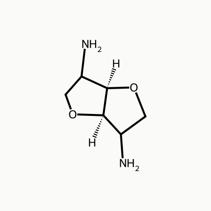 NC1CO[C@@H]2C(N)CO[C@H]12